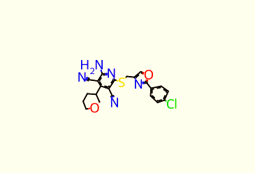 N#Cc1c(N)nc(SCc2coc(-c3ccc(Cl)cc3)n2)c(C#N)c1C1CCCOC1